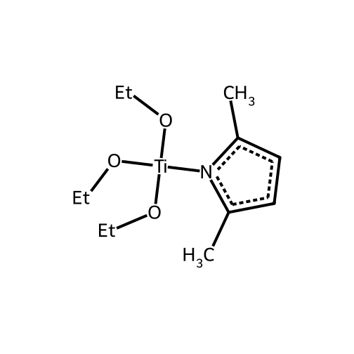 CC[O][Ti]([O]CC)([O]CC)[n]1c(C)ccc1C